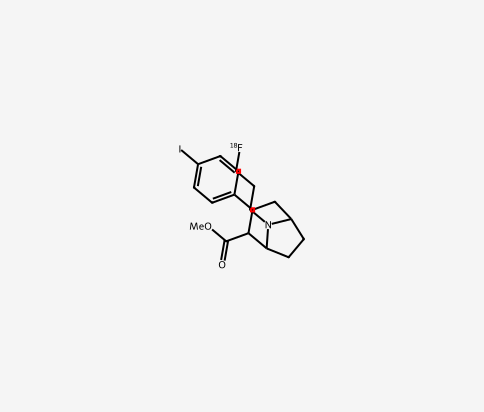 COC(=O)C1C(c2ccc(I)cc2)CC2CCC1N2CCC[18F]